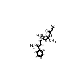 CC(=O)CC(=O)OC(C)(C)CN(C)CCC(P)c1ccccc1